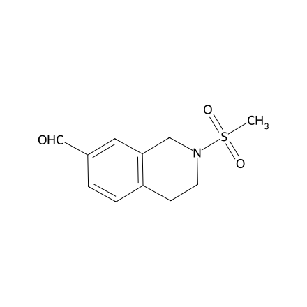 CS(=O)(=O)N1CCc2ccc(C=O)cc2C1